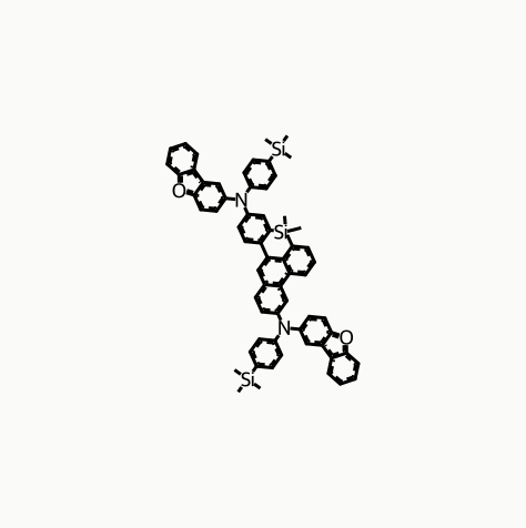 C[Si](C)(C)c1ccc(N(c2ccc3c(c2)[Si](C)(C)c2cccc4c2c-3cc2ccc(N(c3ccc([Si](C)(C)C)cc3)c3ccc5oc6ccccc6c5c3)cc24)c2ccc3oc4ccccc4c3c2)cc1